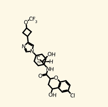 O=C(NC12CCC(n3cnc(C4CC(OC(F)(F)F)C4)c3)(CC1)C[C@@H]2O)C1CC(O)c2cc(Cl)ccc2O1